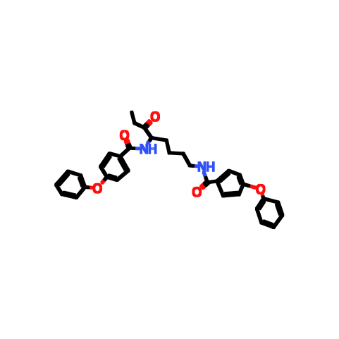 CCC(=O)C(CCCCNC(=O)c1ccc(Oc2ccccc2)cc1)NC(=O)c1ccc(Oc2ccccc2)cc1